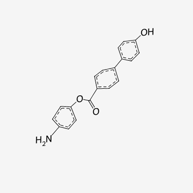 Nc1ccc(OC(=O)c2ccc(-c3ccc(O)cc3)cc2)cc1